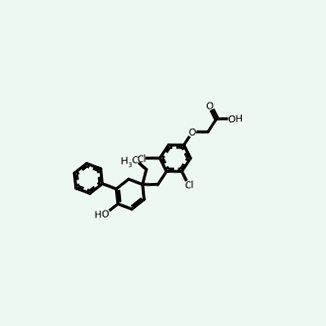 CCC1(Cc2c(Cl)cc(OCC(=O)O)cc2Cl)C=CC(O)=C(c2ccccc2)C1